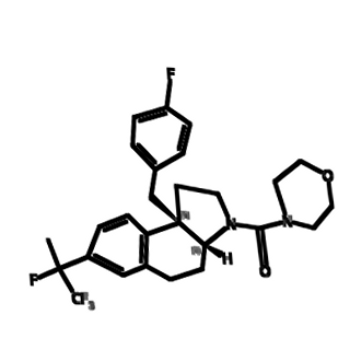 CC(F)(c1ccc2c(c1)CC[C@H]1N(C(=O)N3CCOCC3)CC[C@@]21Cc1ccc(F)cc1)C(F)(F)F